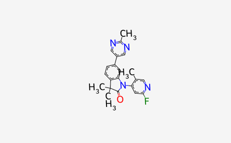 Cc1ncc(-c2ccc3c(c2)N(c2cc(F)ncc2C)C(=O)C3(C)C)cn1